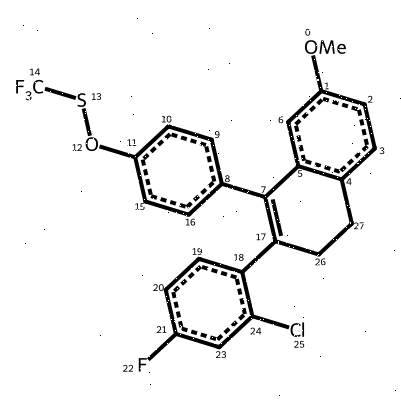 COc1ccc2c(c1)C(c1ccc(OSC(F)(F)F)cc1)=C(c1ccc(F)cc1Cl)CC2